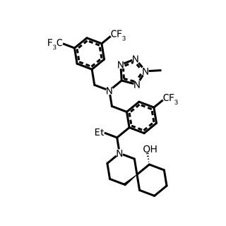 CCC(c1ccc(C(F)(F)F)cc1CN(Cc1cc(C(F)(F)F)cc(C(F)(F)F)c1)c1nnn(C)n1)N1CCC[C@@]2(CCCC[C@H]2O)C1